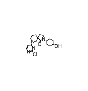 O=C1N([C@H]2CC[C@H](O)CC2)CCC12CCCN(c1ccnc(Cl)n1)C2